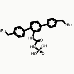 CC(C)(C)Cc1ccc(-c2ccc(-c3ccc(CC(C)(C)C)cc3)c(NC(=O)NP(=O)(O)O)c2)cc1